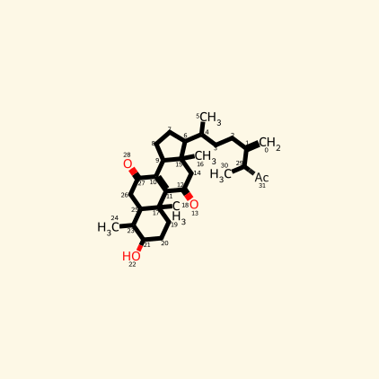 C=C(CCC(C)C1CCC2C3=C(C(=O)CC21C)C1(C)CCC(O)C(C)C1CC3=O)C(C)C(C)=O